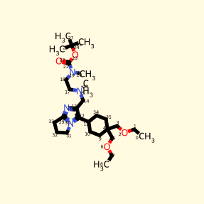 CCOCC1(COCC)CCC(c2c(CN(C)CCN(C)C(=O)OC(C)(C)C)nc3n2CCC3)CC1